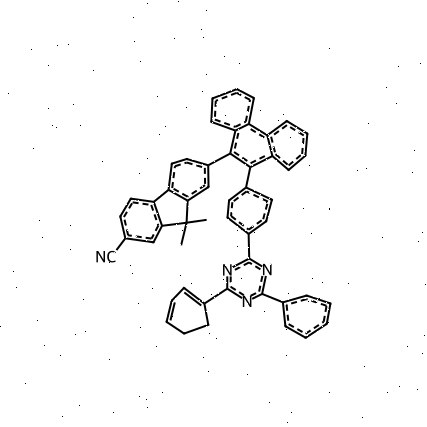 CC1(C)c2cc(C#N)ccc2-c2ccc(-c3c(-c4ccc(-c5nc(C6=CC=CCC6)nc(-c6ccccc6)n5)cc4)c4ccccc4c4ccccc34)cc21